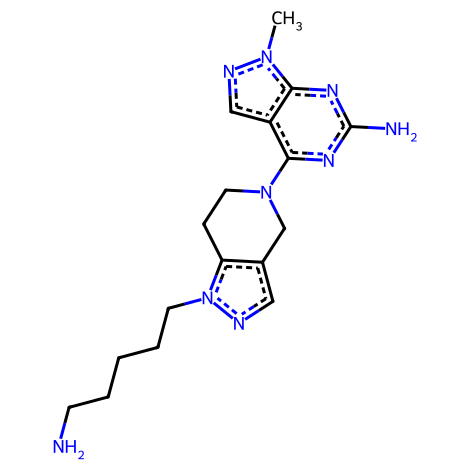 Cn1ncc2c(N3CCc4c(cnn4CCCCCN)C3)nc(N)nc21